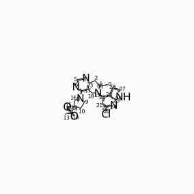 C[C@@H]1Cc2ncnc(N3CC[C@H](S(C)(=O)=O)C3)c2CN1c1cc(Cl)nc2[nH]ccc12